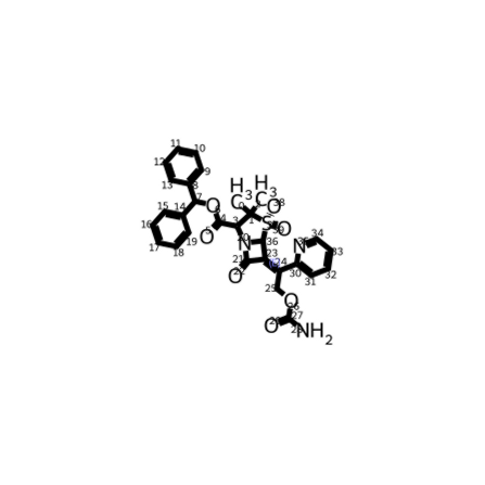 CC1(C)C(C(=O)OC(c2ccccc2)c2ccccc2)N2C(=O)/C(=C(\COC(N)=O)c3ccccn3)C2S1(=O)=O